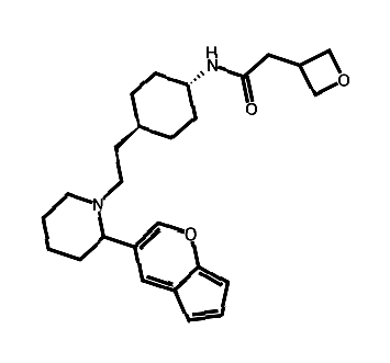 O=C(CC1COC1)N[C@H]1CC[C@H](CCN2CCCCC2c2coc3cccc-3c2)CC1